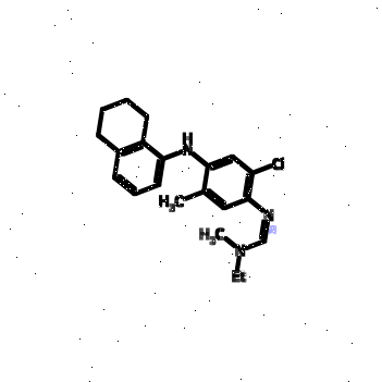 CCN(C)/C=N\c1cc(C)c(Nc2cccc3c2CCCC3)cc1Cl